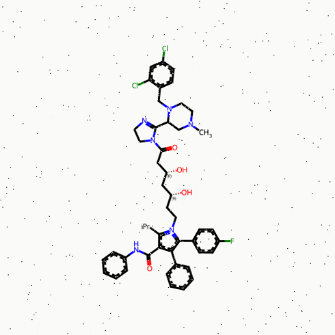 CC(C)c1c(C(=O)Nc2ccccc2)c(-c2ccccc2)c(-c2ccc(F)cc2)n1CC[C@@H](O)C[C@@H](O)CC(=O)N1CCN=C1C1CN(C)CCN1Cc1ccc(Cl)cc1Cl